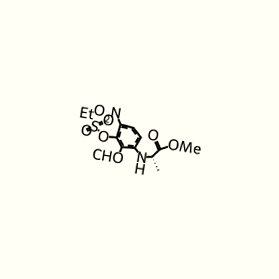 CCS(=O)(=O)Oc1c([N+](=O)[O-])ccc(N[C@@H](C)C(=O)OC)c1C=O